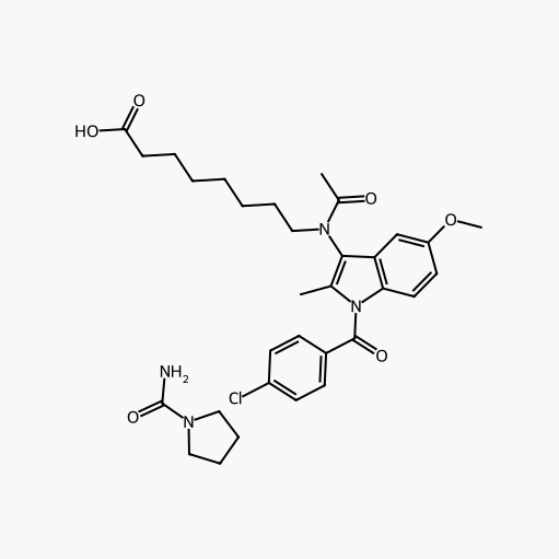 COc1ccc2c(c1)c(N(CCCCCCCC(=O)O)C(C)=O)c(C)n2C(=O)c1ccc(Cl)cc1.NC(=O)N1CCCC1